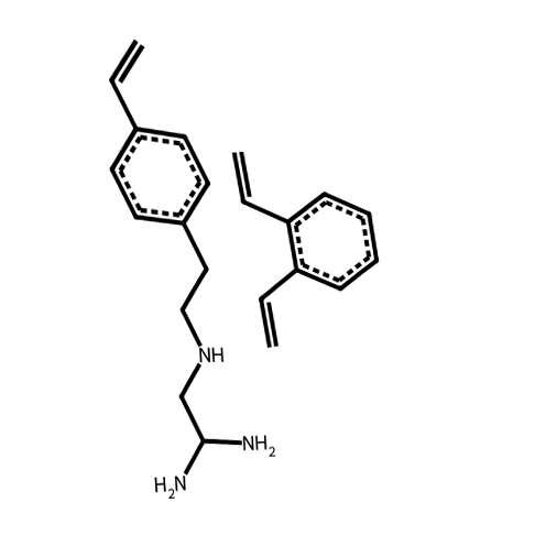 C=Cc1ccc(CCNCC(N)N)cc1.C=Cc1ccccc1C=C